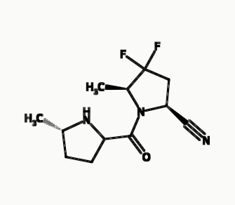 C[C@@H]1N(C(=O)C2CC[C@H](C)N2)[C@H](C#N)CC1(F)F